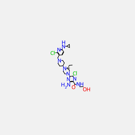 CC[C@H]1CN(c2nc(N)c(C(=O)NCCO)nc2Cl)CCN1C1CCN(Cc2ccc(NC3CC3)nc2Cl)CC1